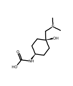 CN(C)C[C@]1(O)CC[C@@H](NC(=O)O)CC1